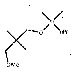 CCC[Si](C)(C)OCC(C)(C)COC